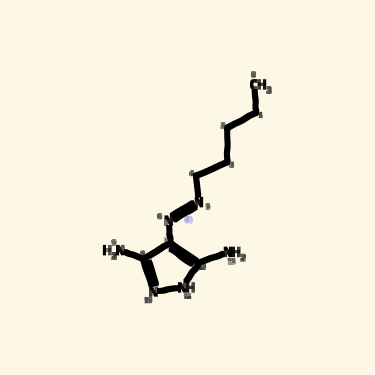 CCCCC/N=N/c1c(N)n[nH]c1N